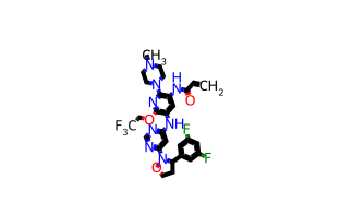 C=CC(=O)Nc1cc(Nc2cc(N3OCCC3c3cc(F)cc(F)c3)ncn2)c(OCC(F)(F)F)nc1N1CCN(C)CC1